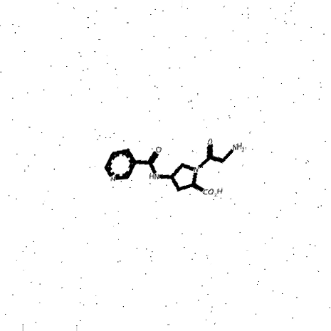 NCC(=O)N1CC(NC(=O)c2cccnc2)CC1C(=O)O